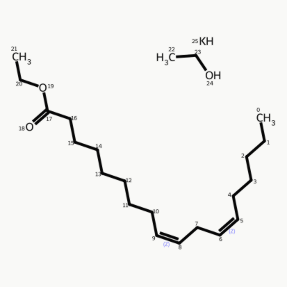 CCCCC/C=C\C/C=C\CCCCCCCC(=O)OCC.CCO.[KH]